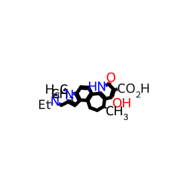 CCN(C)Cc1cc2c3c(ccc2n1C)-c1[nH]c(=O)c(C(=O)O)c(O)c1[C@@H](C)CC3